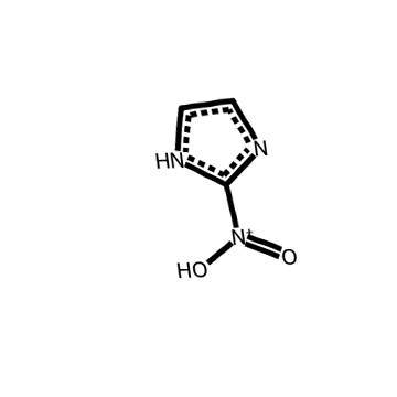 O=[N+](O)c1ncc[nH]1